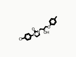 Cc1ccc(OC[C@@H](O)CN2CCN(c3ccc(Cl)cc3)C2=O)cc1